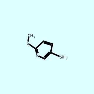 CSc1ccc([SiH3])cn1